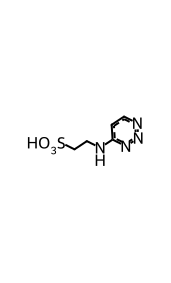 O=S(=O)(O)CCNc1ccnnn1